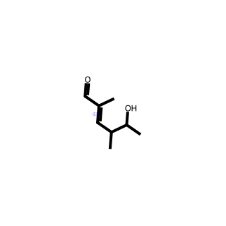 C/C(C=O)=C\C(C)C(C)O